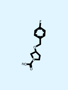 O=C(O)N1CCC(OCc2ccc(F)cc2)C1